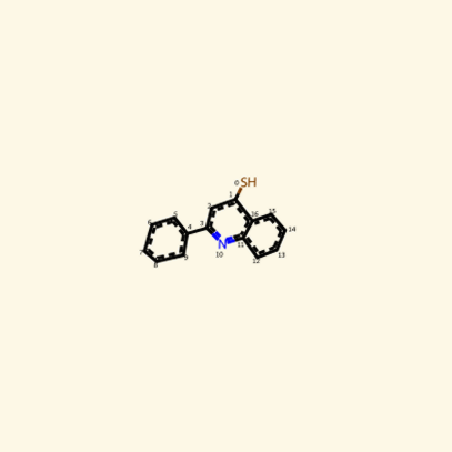 Sc1cc(-c2ccccc2)nc2ccccc12